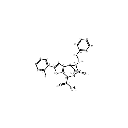 Cc1ccccc1-c1cc2c(s1)C(C(N)=O)N1CC2N(OCc2ccccc2)C1=O